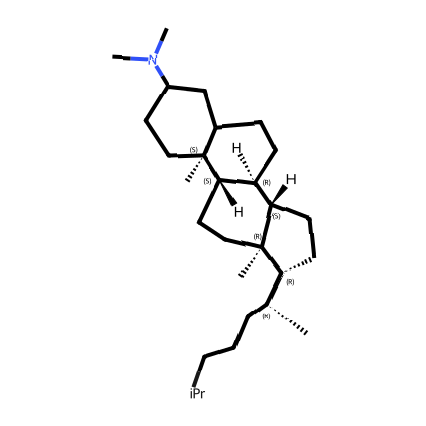 CC(C)CCC[C@@H](C)[C@H]1CC[C@H]2[C@@H]3CCC4CC(N(C)C)CC[C@]4(C)[C@H]3CC[C@]12C